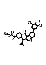 CN(C(=O)OC(C)(C)C)[C@H]1CC[C@H](Nc2c(C(=O)C3CC3)cnc3ccc(-c4cc(Cl)c(O)c(Cl)c4)cc23)CC1